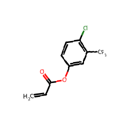 C=CC(=O)Oc1ccc(Cl)c(C(F)(F)F)c1